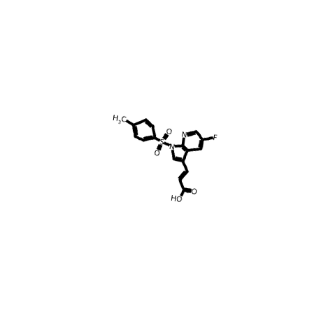 Cc1ccc(S(=O)(=O)n2cc(/C=C/C(=O)O)c3cc(F)cnc32)cc1